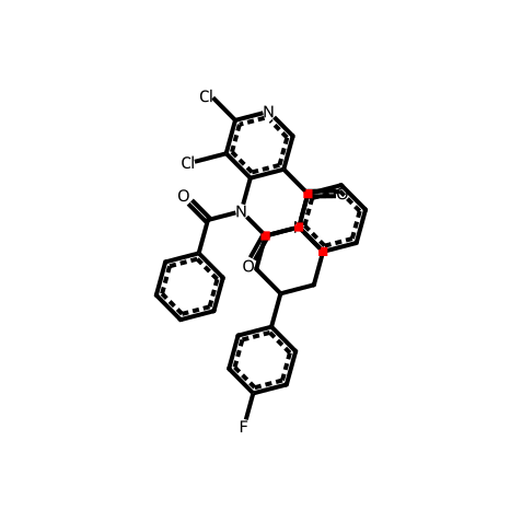 O=C(c1cnc(Cl)c(Cl)c1N(C(=O)c1ccccc1)C(=O)c1ccccc1)N1CCC(c2ccc(F)cc2)CC1